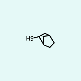 SC1CC2CCC1C2